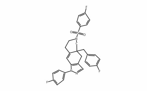 O=S(=O)(c1ccc(F)cc1)N1CCC2=Cc3c(cnn3-c3ccc(F)cc3)CC2(Cc2ccc(F)cc2)C1